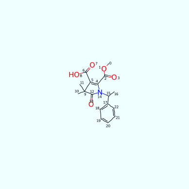 COC(=O)C1=C(C(=O)O)C(C)(C)C(=O)N1C(C)c1ccccc1